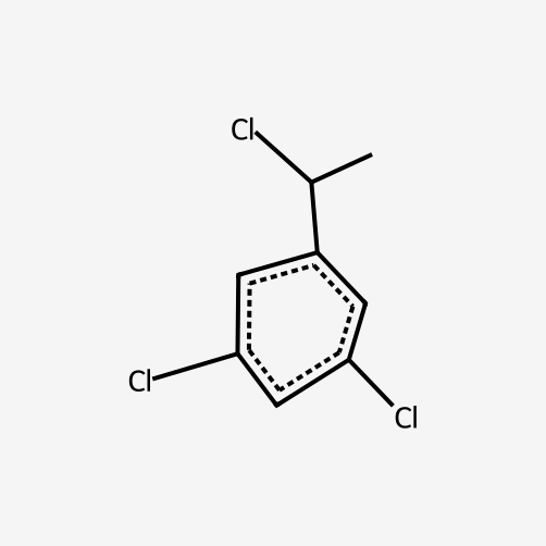 CC(Cl)c1cc(Cl)cc(Cl)c1